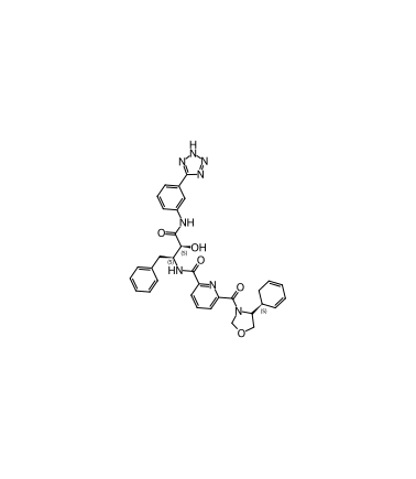 O=C(N[C@@H](Cc1ccccc1)[C@H](O)C(=O)Nc1cccc(-c2nn[nH]n2)c1)c1cccc(C(=O)N2COCC2[C@@H]2C=CC=CC2)n1